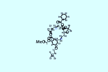 COCOc1cc(OCC[Si](C)(C)C)cc2c1C(=O)O[C@@H](C)[C@H](C)/C=C\C(OC(=O)c1ccccc1)[C@H]1OC(C)(C)OC1C/C=C/2